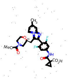 COC(=O)N1CCO[C@@H](Cc2c(-c3c(F)cc(NC(=O)C4(C(=O)O)CC4)cc3F)nc3cc(C)ccn23)C1